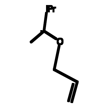 C=CCO[C](C)C(C)C